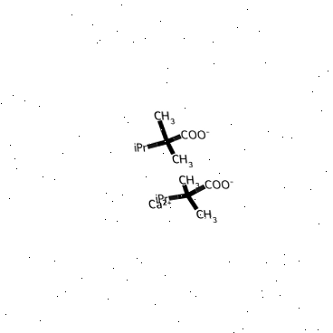 CC(C)C(C)(C)C(=O)[O-].CC(C)C(C)(C)C(=O)[O-].[Ca+2]